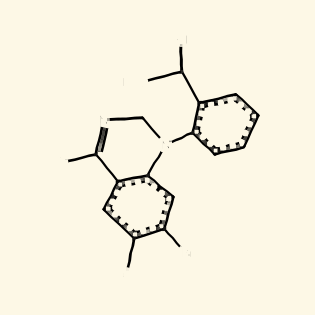 CC(C)c1ccccc1N1CN=C(Cl)c2cc(Cl)c(Br)cc21